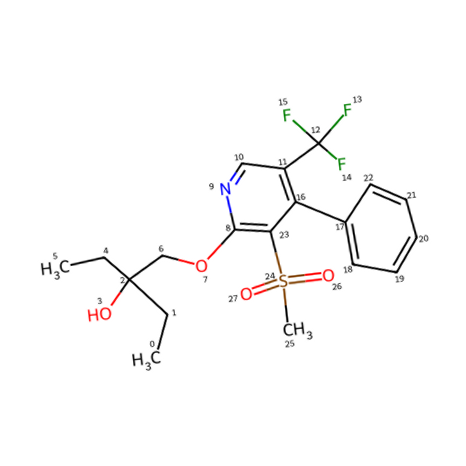 CCC(O)(CC)COc1ncc(C(F)(F)F)c(-c2ccccc2)c1S(C)(=O)=O